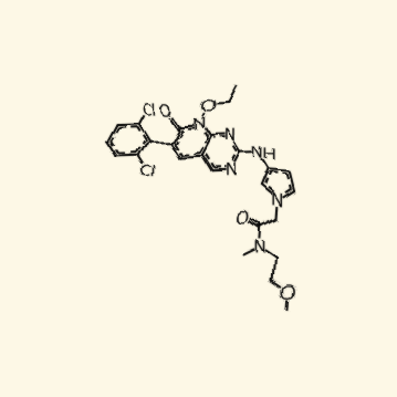 CCOn1c(=O)c(-c2c(Cl)cccc2Cl)cc2cnc(Nc3ccn(CC(=O)N(C)CCOC)c3)nc21